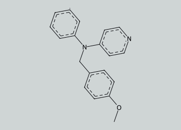 COc1ccc(CN(c2c[c]ccc2)c2ccncc2)cc1